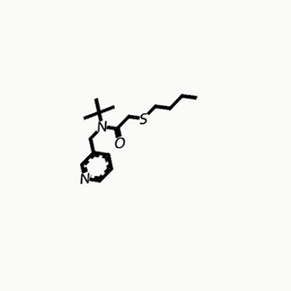 CCCCSCC(=O)N(Cc1cccnc1)C(C)(C)C